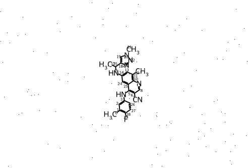 Cc1cc(Nc2c(C#N)cnc3c(C)cc(NC(C)c4cn(C)nn4)cc23)ccc1F